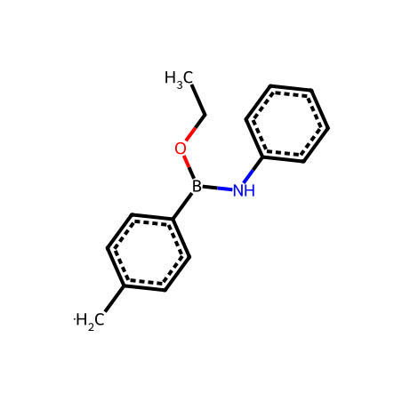 [CH2]c1ccc(B(Nc2ccccc2)OCC)cc1